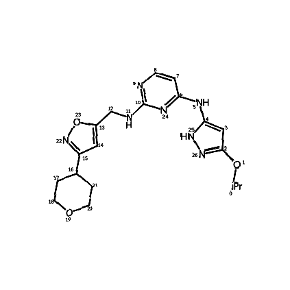 CC(C)Oc1cc(Nc2ccnc(NCc3cc(C4CCOCC4)no3)n2)[nH]n1